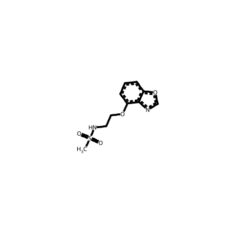 CS(=O)(=O)NCCOc1cccc2ocnc12